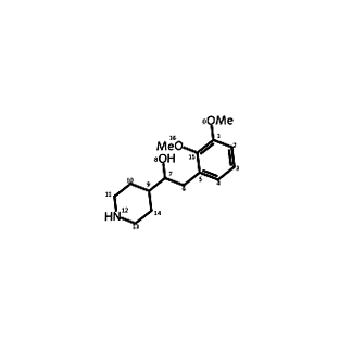 COc1cccc(CC(O)C2CCNCC2)c1OC